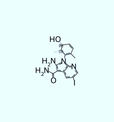 CC1=C(n2c(N)c(C(N)=O)c3cc(I)cnc32)[C@H](C)[C@H](O)C=C1